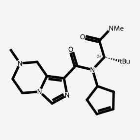 CNC(=O)[C@@H](N(C(=O)c1ncn2c1CN(C)CC2)C1CC=CC1)C(C)(C)C